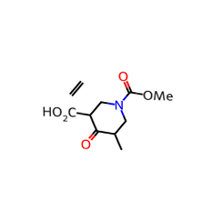 C=C.COC(=O)N1CC(C)C(=O)C(C(=O)O)C1